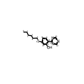 CCCCCCSc1ccc(-c2ncncn2)c(O)c1